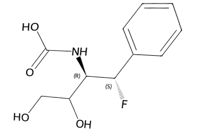 O=C(O)N[C@H](C(O)CO)[C@@H](F)c1ccccc1